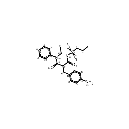 CCCS(=O)(=O)NC(=O)C(Cc1ccc(N)cc1)C(=O)N(CC)c1ccccc1